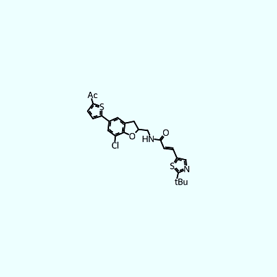 CC(=O)c1ccc(-c2cc(Cl)c3c(c2)CC(CNC(=O)/C=C/c2cnc(C(C)(C)C)s2)O3)s1